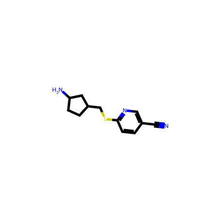 N#Cc1ccc(SCC2CCC(N)C2)nc1